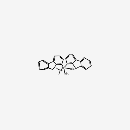 CCC[CH2][Zr]([CH2]CCC)([c]1cccc2c1Cc1ccccc1-2)([c]1cccc2c1Cc1ccccc1-2)[SiH](C)C